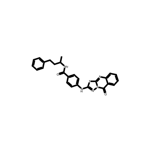 CC(CCc1ccccc1)NC(=O)c1ccc(Nc2nn3c(=O)c4ccccc4nc3s2)cc1